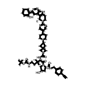 C#Cc1ccc(CNC(=O)[C@@H]2C[C@@H](O)CN2C(=O)[C@@H](NC(=O)N2CC3(CC(N4CCC(c5cnc(N6CCc7[nH]c8nnc(-c9ccccc9O)cc8c7[C@H]6C)nc5)CC4)C3)C2)C(C)(C)CCNC(=O)OC(C)(C)C)cc1